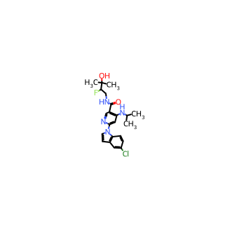 CC(C)Nc1cc(-n2ccc3cc(Cl)ccc32)ncc1C(=O)NCC(F)C(C)(C)O